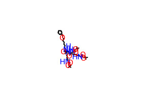 CC(C)(C)OC(=O)NCCCC[C@H](NC(=O)OC(C)(C)C)C(=O)N[C@H](CCCCNC(=O)OC(C)(C)C)C(=O)NCCCCCCOCc1ccccc1